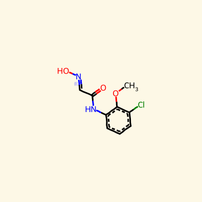 COc1c(Cl)cccc1NC(=O)/C=N/O